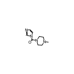 CN1CCN(C(=O)n2[c]ncc2)CC1